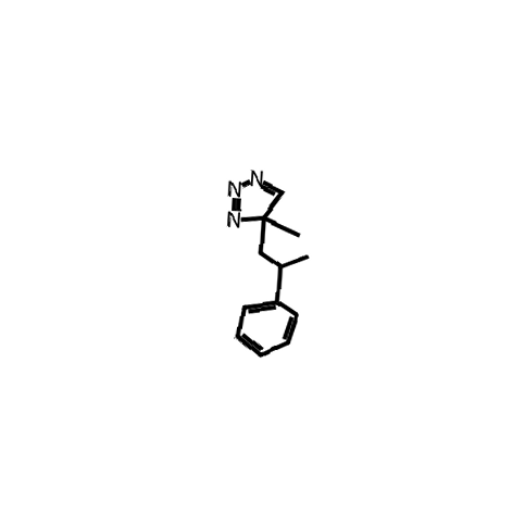 CC(CC1(C)C=NN=N1)c1ccccc1